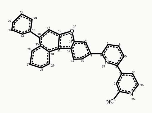 N#Cc1cc(-c2cccc(-c3ccc4c(c3)oc3cc(-c5ccccc5)c5ccccc5c34)n2)ccn1